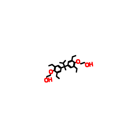 CCc1cc(C(C)(c2cc(CC)c(OCCO)c(CC)c2)C(C)C)cc(CC)c1OCCO